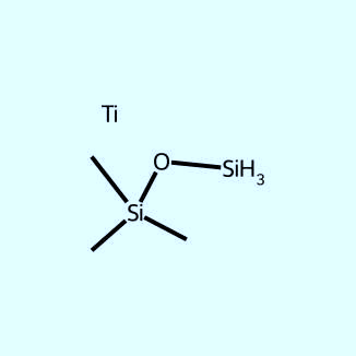 C[Si](C)(C)O[SiH3].[Ti]